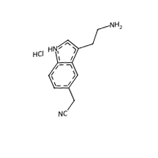 Cl.N#CCc1ccc2[nH]cc(CCN)c2c1